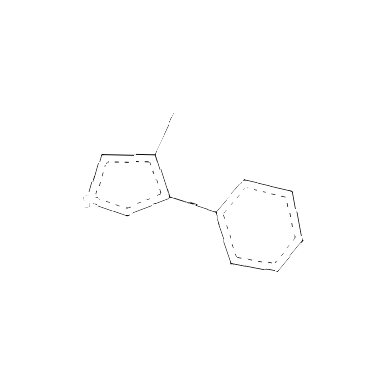 Cc1cscc1-c1c[c]ccc1